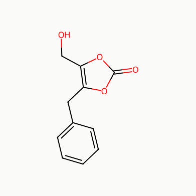 O=c1oc(CO)c(Cc2ccccc2)o1